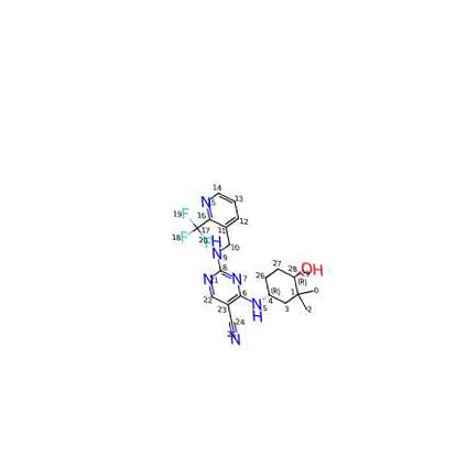 CC1(C)C[C@H](Nc2nc(NCc3cccnc3C(F)(F)F)ncc2C#N)CC[C@H]1O